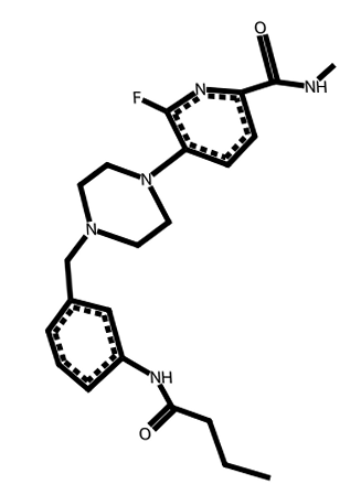 CCCC(=O)Nc1cccc(CN2CCN(c3ccc(C(=O)NC)nc3F)CC2)c1